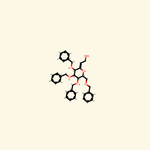 OCC=C1OC(COCc2ccccc2)C(OCc2ccccc2)C(OCc2ccccc2)C1OCc1ccccc1